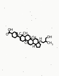 CC(CO)CNC12CCC[C@@H]1C1CCC3C(C)(CCC4C(C)(C)C(C5=CCC(C(=O)O)CC5)=CCC43C)C1CC2